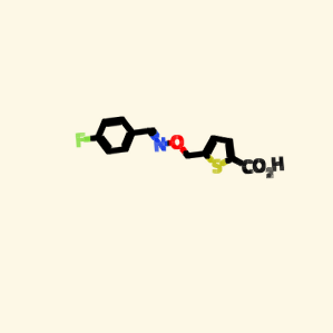 O=C(O)c1ccc(CO/N=C/c2ccc(F)cc2)s1